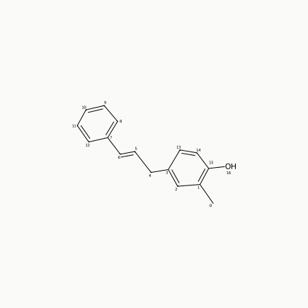 Cc1cc(C/C=C/c2ccccc2)ccc1O